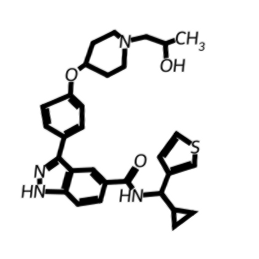 CC(O)CN1CCC(Oc2ccc(-c3n[nH]c4ccc(C(=O)NC(c5ccsc5)C5CC5)cc34)cc2)CC1